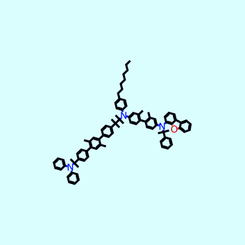 CCCCCCCCc1ccc(N(c2ccc(-c3ccc(N(c4cccc5c4oc4ccccc45)C(C)(C)c4ccccc4)cc3C)c(C)c2)C(C)(C)C(C)(C)c2ccc(-c3cc(C)c(-c4ccc(C(C)(C)N(c5ccccc5)c5ccccc5)cc4)cc3C)cc2)cc1